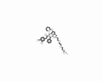 COCCOCCOCCNC[C@@H]1C[C@@H](OC2CCCCO2)CN1C[C@H](c1ccccc1)N(C)C(=O)Cc1ccc(Cl)c(Cl)c1